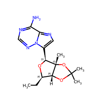 CC[C@H]1O[C@@H](c2cnc3c(N)ncnn23)[C@]2(C)OC(C)(C)O[C@H]12